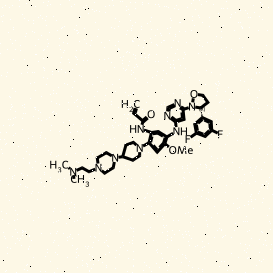 C=CC(=O)Nc1cc(Nc2cc(N3OCC[C@@H]3c3cc(F)cc(F)c3)ncn2)c(OC)cc1N1CCC(N2CCN(CCN(C)C)CC2)CC1